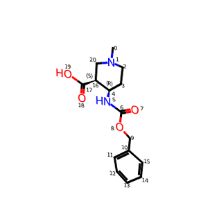 CN1CC[C@@H](NC(=O)OCc2ccccc2)[C@@H](C(=O)O)C1